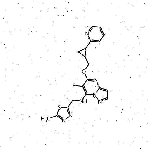 Cc1nnc(CNc2c(F)c(OCC3CC3c3ccccn3)nc3ccnn23)s1